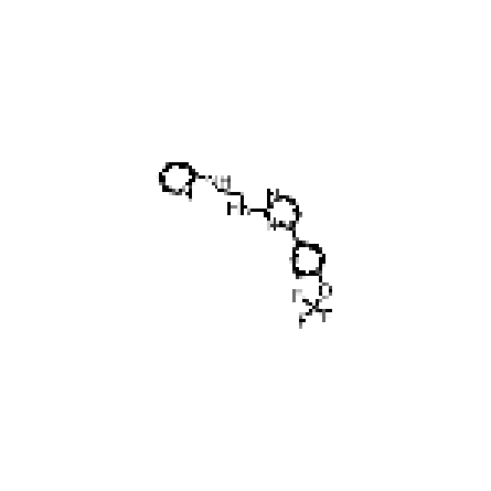 FC(F)(F)Oc1ccc(-c2ccnc(NCCNc3ccccn3)n2)cc1